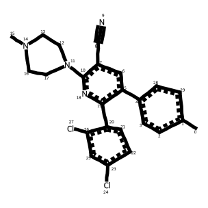 Cc1ccc(-c2cc(C#N)c(N3CCN(C)CC3)nc2-c2ccc(Cl)cc2Cl)cc1